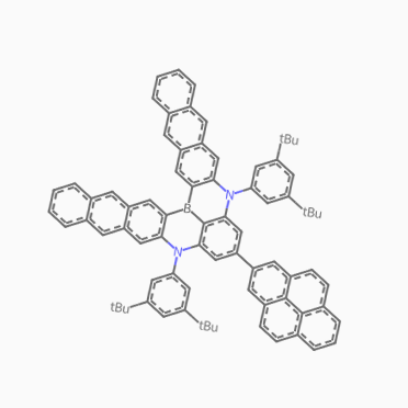 CC(C)(C)c1cc(N2c3cc4cc5ccccc5cc4cc3B3c4cc5cc6ccccc6cc5cc4N(c4cc(C(C)(C)C)cc(C(C)(C)C)c4)c4cc(-c5cc6ccc7cccc8ccc(c5)c6c78)cc2c43)cc(C(C)(C)C)c1